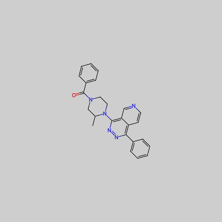 CC1CN(C(=O)c2ccccc2)CCN1c1nnc(-c2ccccc2)c2ccncc12